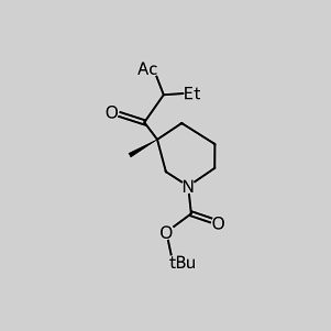 CCC(C(C)=O)C(=O)[C@]1(C)CCCN(C(=O)OC(C)(C)C)C1